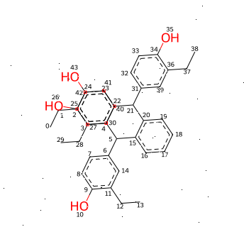 CCc1cc(C(c2ccc(O)c(CC)c2)c2ccccc2C(c2ccc(O)c(CC)c2)c2ccc(O)c(CC)c2)ccc1O